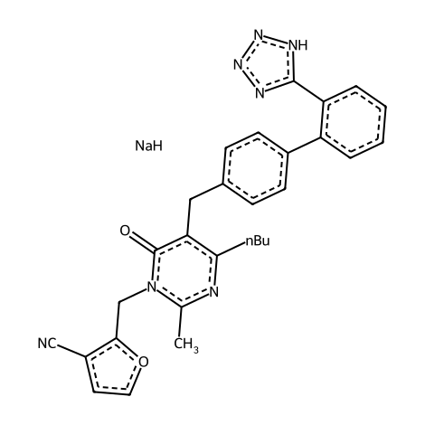 CCCCc1nc(C)n(Cc2occc2C#N)c(=O)c1Cc1ccc(-c2ccccc2-c2nnn[nH]2)cc1.[NaH]